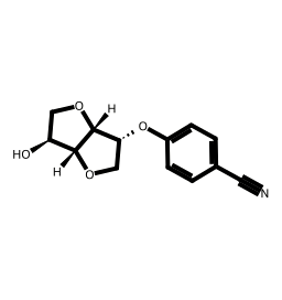 N#Cc1ccc(O[C@@H]2CO[C@H]3[C@@H]2OC[C@@H]3O)cc1